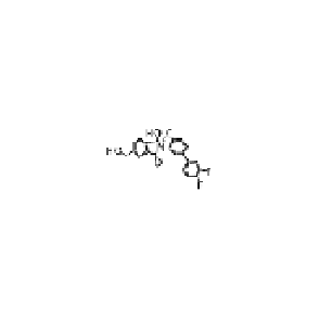 O=C(O)c1ccc(-c2ccc(F)c(F)c2)cc1N1C(=O)c2ccc(CO)cc2C1=O